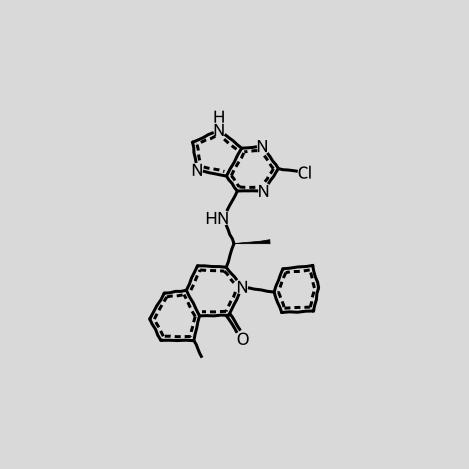 Cc1cccc2cc([C@H](C)Nc3nc(Cl)nc4[nH]cnc34)n(-c3ccccc3)c(=O)c12